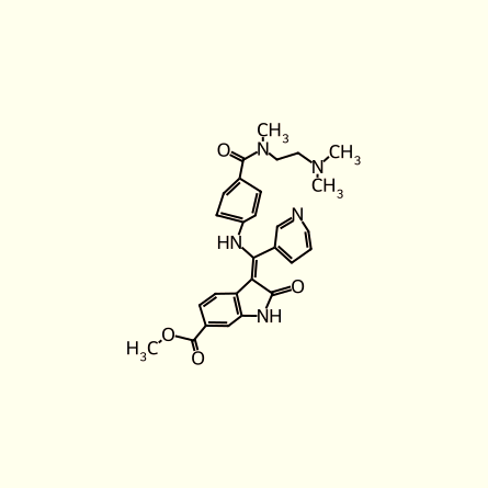 COC(=O)c1ccc2c(c1)NC(=O)C2=C(Nc1ccc(C(=O)N(C)CCN(C)C)cc1)c1cccnc1